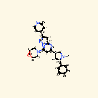 CN1CC(c2cc(N3CCOCC3)n3nc(-c4ccncc4)cc3n2)CC1c1ccccc1